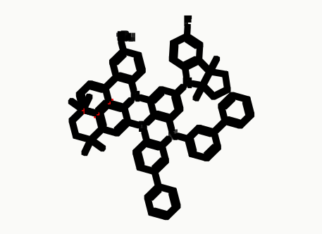 CC(C)(C)c1ccc(N2c3cc4c(cc3B3c5ccc(-c6ccccc6)cc5N(c5cccc(-c6ccccc6)c5)c5cc(N6c7ccc(F)cc7C7(C)CCCC67C)cc2c53)C(C)(C)CCC4(C)C)c(-c2ccccc2)c1